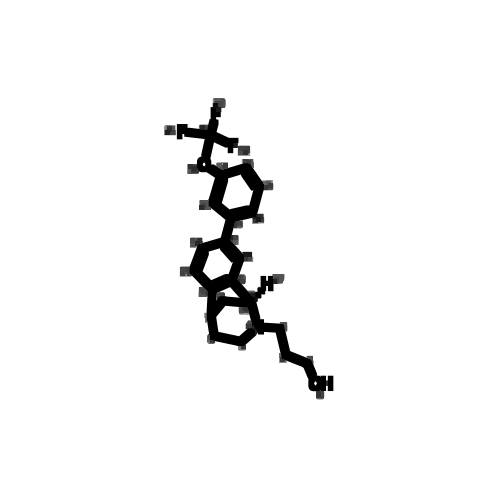 OCCCN1CCC2C[C@H]1c1cc(-c3cccc(OC(F)(F)F)c3)ccc12